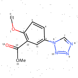 CCOc1ccc(-n2cnnn2)cc1C(=O)OC